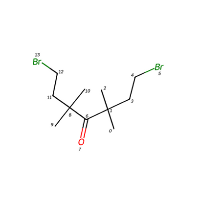 CC(C)(CCBr)C(=O)C(C)(C)CCBr